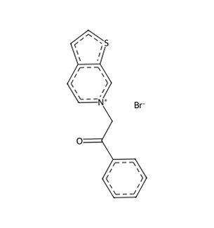 O=C(C[n+]1ccc2ccsc2c1)c1ccccc1.[Br-]